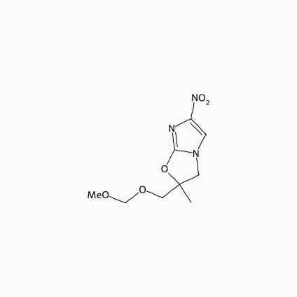 COCOCC1(C)Cn2cc([N+](=O)[O-])nc2O1